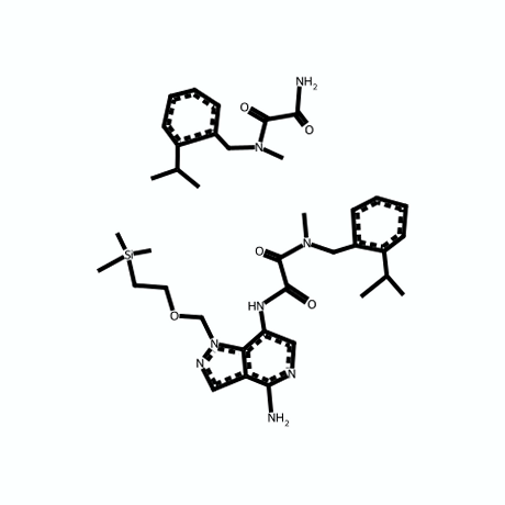 CC(C)c1ccccc1CN(C)C(=O)C(=O)Nc1cnc(N)c2cnn(COCC[Si](C)(C)C)c12.CC(C)c1ccccc1CN(C)C(=O)C(N)=O